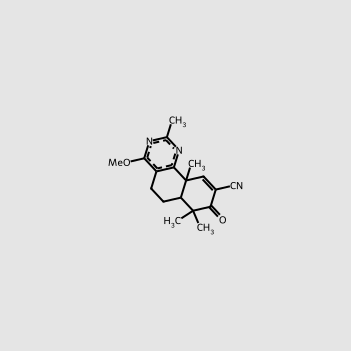 COc1nc(C)nc2c1CCC1C(C)(C)C(=O)C(C#N)=CC21C